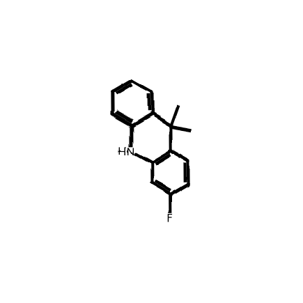 CC1(C)c2ccccc2Nc2cc(F)ccc21